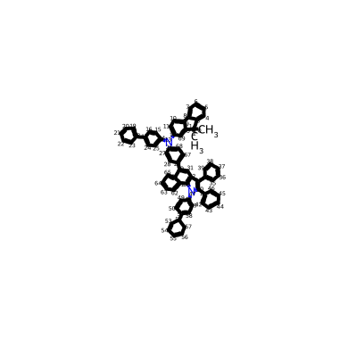 CC1(C)c2ccccc2-c2ccc(N(c3ccc(-c4ccccc4)cc3)c3ccc(-c4cc5c(-c6ccccc6)c(-c6ccccc6)n(-c6ccc(C7C=CC=CC7)cc6)c5c5ccccc45)cc3)cc21